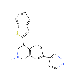 CN1Cc2cc(-c3ccnnc3)ccc2C(c2cc3ccccc3s2)C1